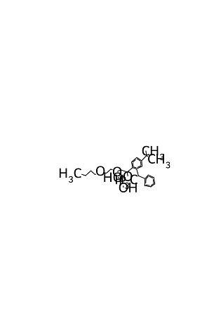 CCCCOCCOCC(OP(O)O)c1ccc(C(C)C)cc1C(C)c1ccccc1